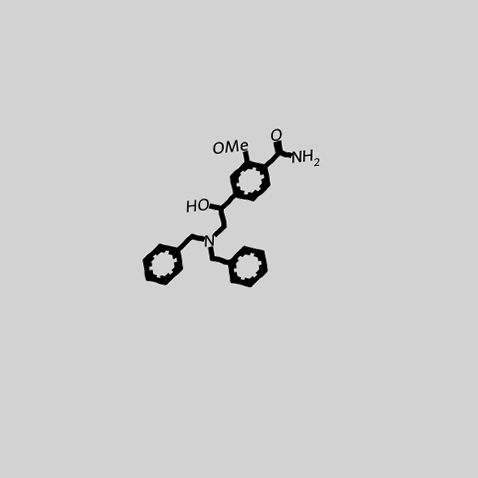 COc1cc(C(O)CN(Cc2ccccc2)Cc2ccccc2)ccc1C(N)=O